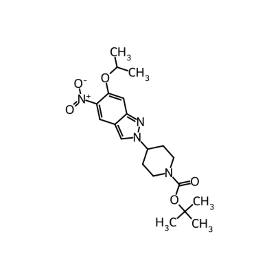 CC(C)Oc1cc2nn(C3CCN(C(=O)OC(C)(C)C)CC3)cc2cc1[N+](=O)[O-]